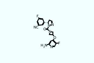 N#Cc1cc(F)cc([C@@H]2CC=NN2C(=O)N2CC(Oc3cc(N)ncc3F)C2)c1